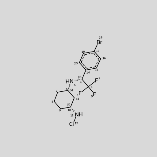 FC(F)(F)[C@H](N[C@H]1CCC[C@@H](NCl)C1)c1ccc(Br)cc1